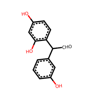 O=CC(c1cccc(O)c1)c1ccc(O)cc1O